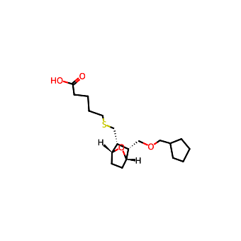 O=C(O)CCCCSC[C@@H]1[C@H](COCC2CCCC2)[C@@H]2CC[C@H]1O2